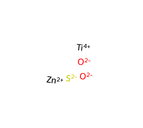 [O-2].[O-2].[S-2].[Ti+4].[Zn+2]